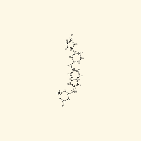 CC(C)CC(CO)Nc1nc2ccc(Oc3ccnc(-c4cnn(C)c4)c3)cc2s1